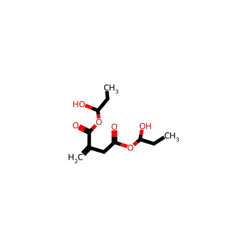 C=C(CC(=O)OC(O)CC)C(=O)OC(O)CC